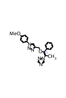 COc1ccc(-n2cc(CO/C(=C(/C)n3cncn3)c3ccccc3)nn2)cc1